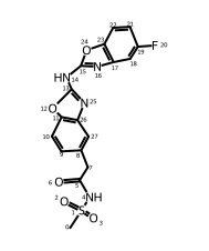 CS(=O)(=O)NC(=O)Cc1ccc2oc(Nc3nc4cc(F)ccc4o3)nc2c1